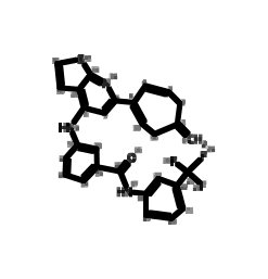 C=C1CC=CC(c2cc(Nc3cccc(C(=O)Nc4cccc(C(F)(F)F)c4)c3)c3ccsc3n2)=CC1